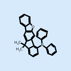 CC1(C)c2cc3c(cc2-c2c(N(c4ccccc4)c4ccccc4)cccc21)oc1ccccc13